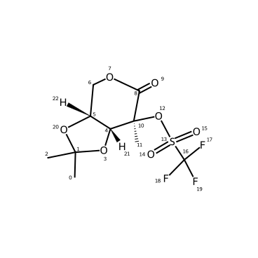 CC1(C)O[C@@H]2[C@@H](COC(=O)[C@@]2(C)OS(=O)(=O)C(F)(F)F)O1